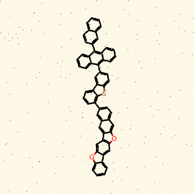 c1ccc2cc(-c3c4ccccc4c(-c4ccc5sc6c(-c7ccc8cc9oc%10cc%11c(cc%10c9cc8c7)oc7ccccc7%11)cccc6c5c4)c4ccccc34)ccc2c1